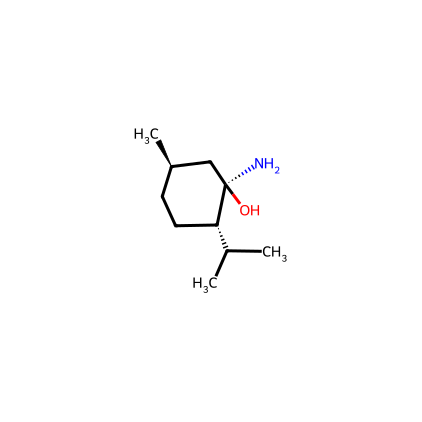 CC(C)[C@@H]1CC[C@@H](C)C[C@@]1(N)O